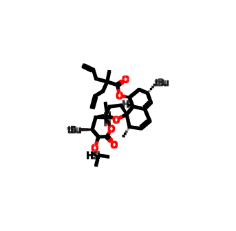 C=CCC(C)(CC=C)C(=O)O[C@H]1C[C@H](C(C)(C)C)C=C2C=C[C@H](C)[C@](CC[C@@H]3C[C@H](C(C)(C)C)C(O[SiH](C)C)C(=O)O3)(O[SiH](C)C)[C@H]21